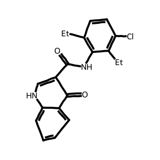 CCc1ccc(Cl)c(CC)c1NC(=O)c1c[nH]c2ccccc2c1=O